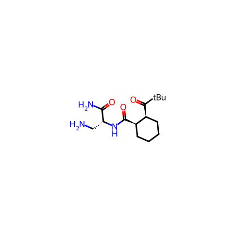 CC(C)(C)C(=O)[C@H]1CCCC[C@H]1C(=O)N[C@H](CN)C(N)=O